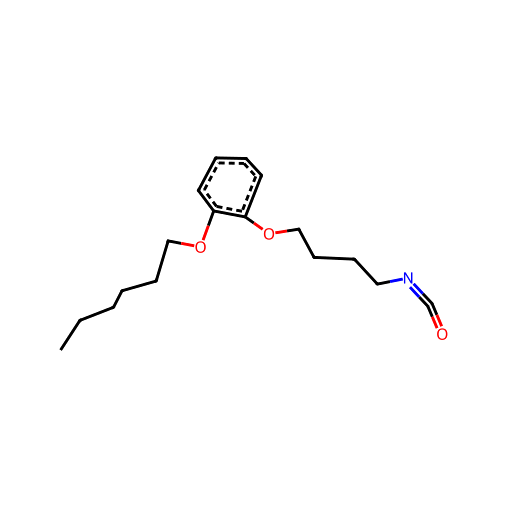 CCCCCCOc1ccccc1OCCCCN=C=O